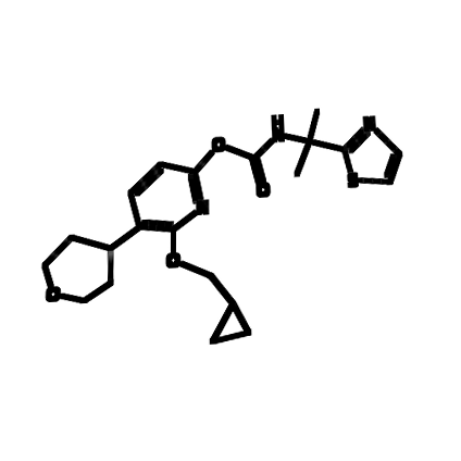 CC(C)(NC(=O)Oc1ccc(C2CCOCC2)c(OCC2CC2)n1)c1nccs1